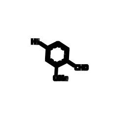 COc1cc(S)ccc1C=O